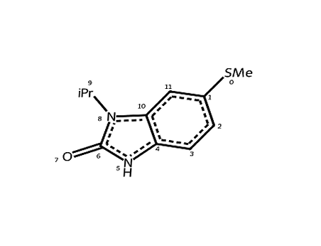 CSc1ccc2[nH]c(=O)n(C(C)C)c2c1